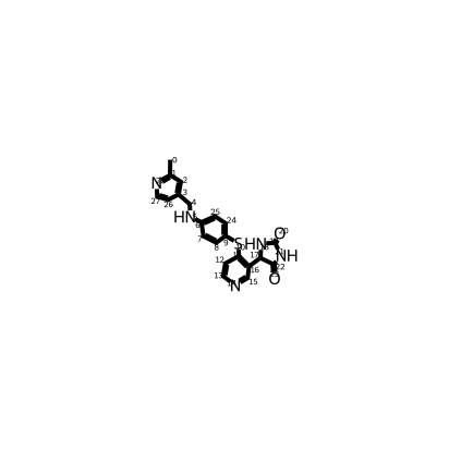 Cc1cc(CNc2ccc(Sc3ccncc3C3NC(=O)NC3=O)cc2)ccn1